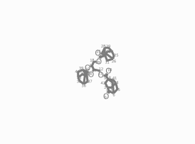 O=C1C2CC3CC1CC(C(=O)OCC1OC4(OC1COC(=O)C15CC6CC(CC(C6)C1)C5)C1CC5CC(C1)CC4C5)(C3)C2